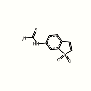 NC(=S)Nc1ccc2c(c1)S(=O)(=O)C=C2